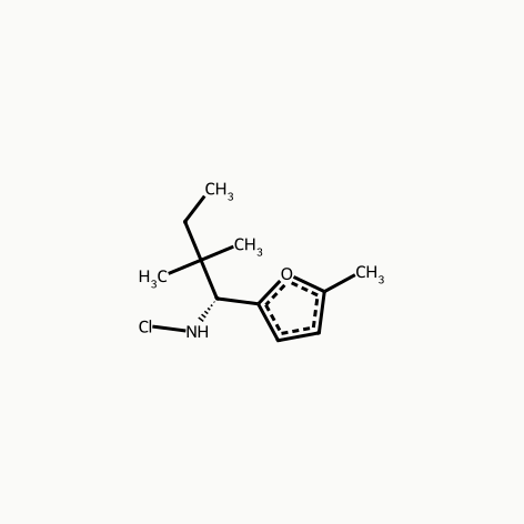 CCC(C)(C)[C@@H](NCl)c1ccc(C)o1